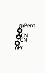 CCCCCOc1ccc(-c2ccc([C@H]3CC[C@H](CCC)CC3)c(C#N)c2C#N)cc1